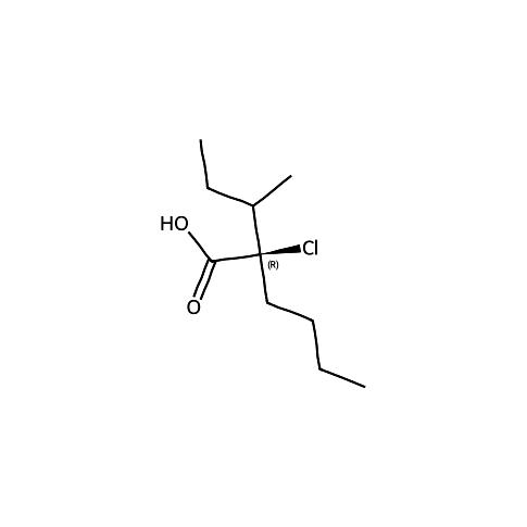 CCCC[C@](Cl)(C(=O)O)C(C)CC